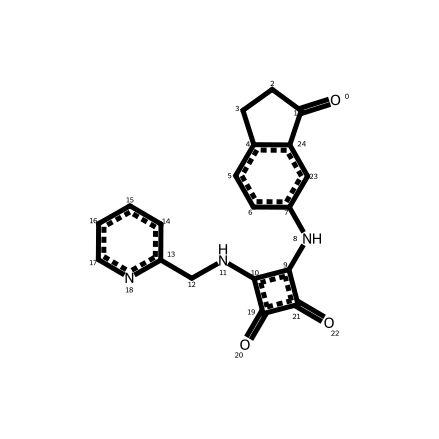 O=C1CCc2ccc(Nc3c(NCc4ccccn4)c(=O)c3=O)cc21